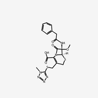 CO[C@@]1(NC(=O)Cc2ccccc2)C(=O)N2C(C(=O)O)=C(CSc3nnnn3C)CS[C@@H]21